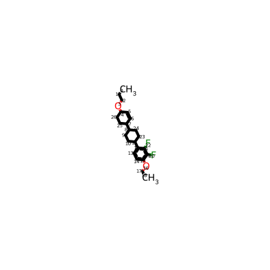 CCCOC1C=CC(C2CCC(c3ccc(OCC)c(F)c3F)CC2)CC1